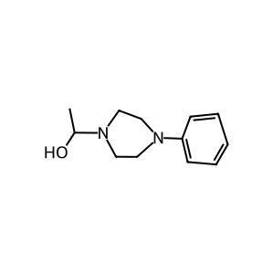 CC(O)N1CCN(c2ccccc2)CC1